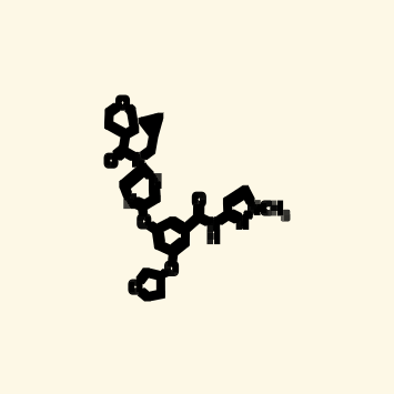 Cn1ccc(NC(=O)c2cc(Oc3cnc(N(CC4CC4)C(=O)C4CCOCC4)cn3)cc(O[C@H]3CCOC3)c2)n1